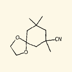 CC1(C)CC(C)(C#N)CC2(C1)OCCO2